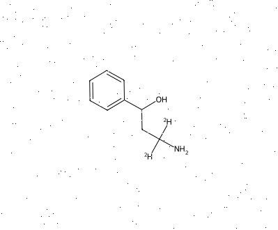 [2H]C([2H])(N)CC(O)c1ccccc1